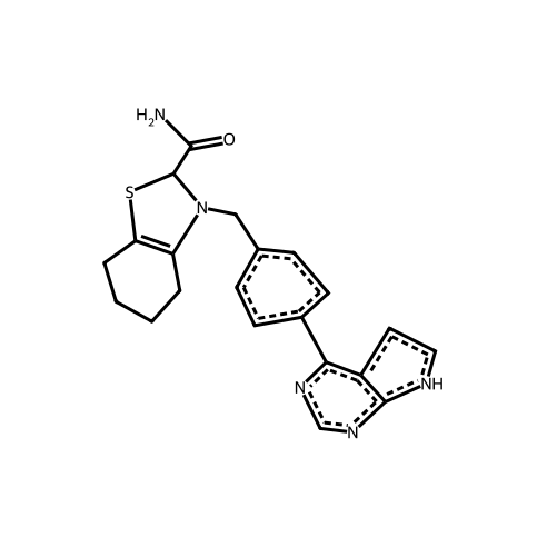 NC(=O)C1SC2=C(CCCC2)N1Cc1ccc(-c2ncnc3[nH]ccc23)cc1